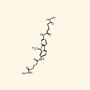 CCCNC(=O)CCCC(=O)Nc1ccc2c(c1)C(C)c1cc(NC(=O)CCCC(=O)NCC)ccc1-2